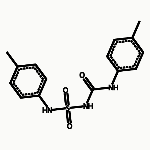 Cc1ccc(NC(=O)NS(=O)(=O)Nc2ccc(C)cc2)cc1